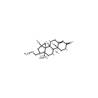 COC[C@@]1(O)C[C@@H]2C[C@]23[C@@H]2CCC4=CC(=O)CC[C@@H]4[C@H]2CC[C@]13C